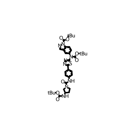 CC(C)(C)OC(=O)NC1CCN(C(=O)Nc2ccc(-c3nnc(N(C(=O)OC(C)(C)C)c4ccc5c(cnn5C(=O)OC(C)(C)C)c4)s3)cc2)C1